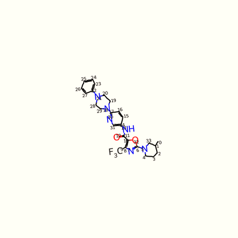 CC1CCCN(c2nc(C(F)(F)F)c(C(=O)Nc3ccc(N4CCN(c5ccccc5)CC4)nc3)o2)C1